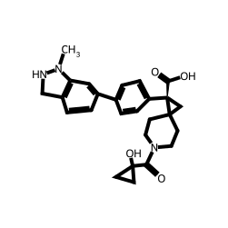 CN1NCc2ccc(-c3ccc([C@]4(C(=O)O)CC45CCN(C(=O)C4(O)CC4)CC5)cc3)cc21